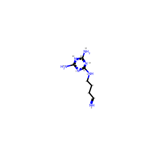 N=CCCCNc1nc(N)nc(N)n1